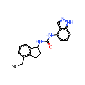 N#CCc1cccc2c1CCC2NC(=O)Nc1cccc2[nH]ncc12